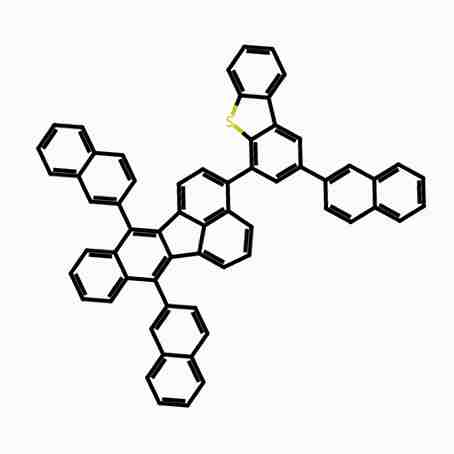 c1ccc2cc(-c3cc(-c4ccc5c6c(cccc46)-c4c-5c(-c5ccc6ccccc6c5)c5ccccc5c4-c4ccc5ccccc5c4)c4sc5ccccc5c4c3)ccc2c1